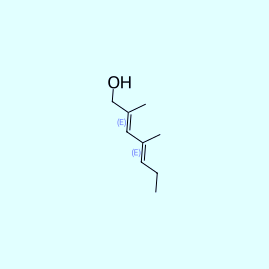 CC/C=C(C)/C=C(\C)CO